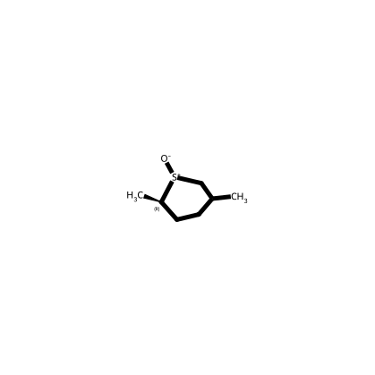 CC1CC[C@@H](C)[S+]([O-])C1